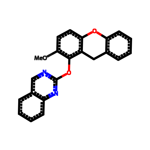 COc1ccc2c(c1Oc1ncc3ccccc3n1)Cc1ccccc1O2